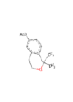 CC(=O)Oc1ccc2c(c1)CCOC2(C)C(F)(F)F